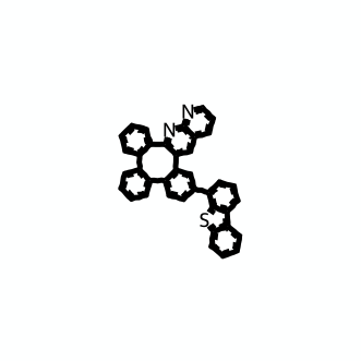 c1ccc2c(c1)-c1ccc(-c3cccc4c3sc3ccccc34)cc1-c1cc3cccnc3nc1-c1ccccc1-2